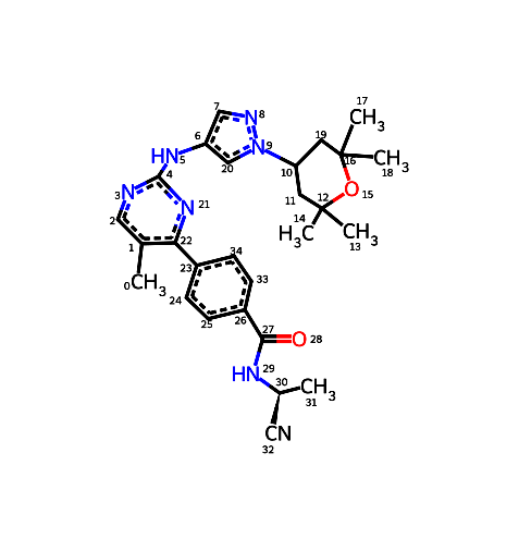 Cc1cnc(Nc2cnn(C3CC(C)(C)OC(C)(C)C3)c2)nc1-c1ccc(C(=O)N[C@@H](C)C#N)cc1